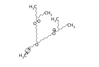 CCCCCC(CCCCC)CC(=O)OCCCCCCCCC(CCCCCCCCOC(=O)CC(CCCCC)CCCCC)OCCCN1CCN(C)CC1